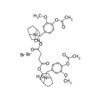 COc1cc(C[N+]2(C)C3CCC2CC(OC(=O)CCC(=O)OC2CC4CCC(C2)[N+]4(C)Cc2ccc(OC(C)=O)c(OC)c2)C3)ccc1OC(C)=O.[Br-].[Br-]